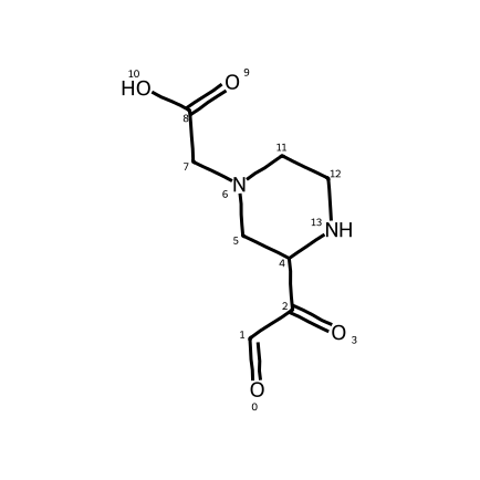 O=CC(=O)C1CN(CC(=O)O)CCN1